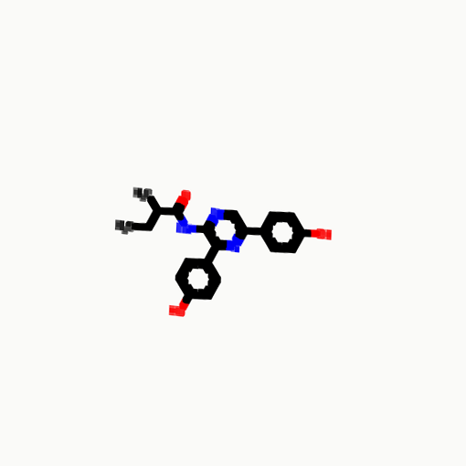 CCC(C)C(=O)Nc1ncc(-c2ccc(O)cc2)nc1-c1ccc(O)cc1